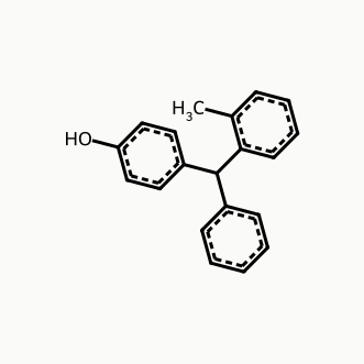 Cc1ccccc1C(c1ccccc1)c1ccc(O)cc1